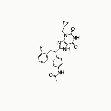 CC(=O)Nc1ccc(C(Cc2ccccc2F)c2nc3c([nH]2)c(=O)[nH]c(=O)n3CC2CC2)cc1